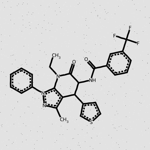 CCN1C(=O)C(NC(=O)c2cccc(C(F)(F)F)c2)C(c2ccsc2)c2c(C)nn(-c3ccccc3)c21